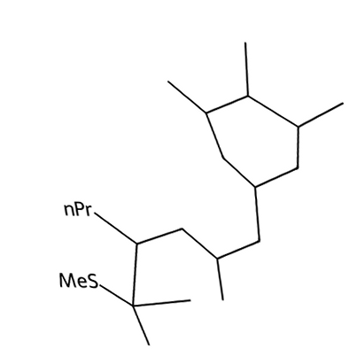 CCCC(CC(C)CC1CC(C)C(C)C(C)C1)C(C)(C)SC